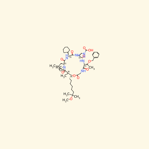 COC(C)(C)CCCCCC[C@H]1OC(=O)CNC(=O)[C@H](C(C)OCc2ccccc2)NC(=O)[C@H](CNC(=O)O)NC(=O)[C@H](C2CCCCC2)NC(=O)[C@H](CC(C)C)N(C)C(=O)[C@@H]1C